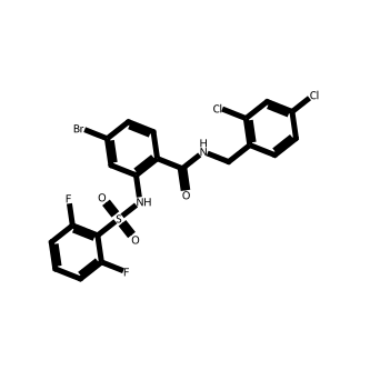 O=C(NCc1ccc(Cl)cc1Cl)c1ccc(Br)cc1NS(=O)(=O)c1c(F)cccc1F